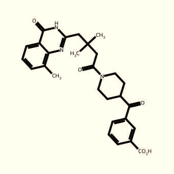 Cc1cccc2c(=O)[nH]c(CC(C)(C)CC(=O)N3CCC(C(=O)c4cccc(C(=O)O)c4)CC3)nc12